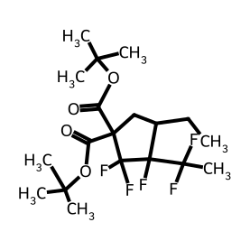 CCC1CC(C(=O)OC(C)(C)C)(C(=O)OC(C)(C)C)C(F)(F)C1(F)C(C)(F)F